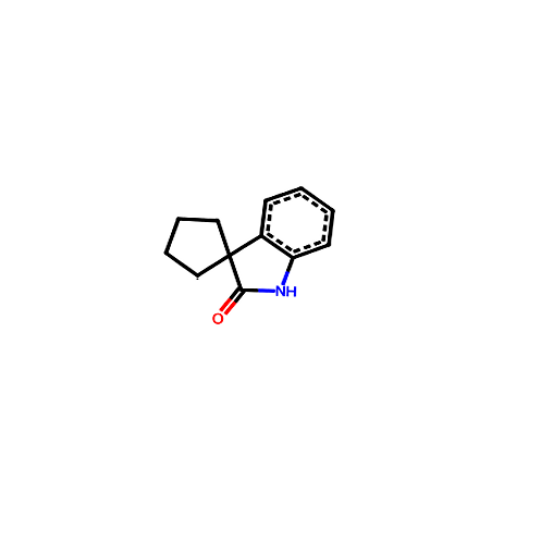 O=C1Nc2ccccc2C12[CH]CCC2